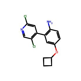 Nc1ccc(OC2CCC2)cc1-c1cc(Cl)ncc1Cl